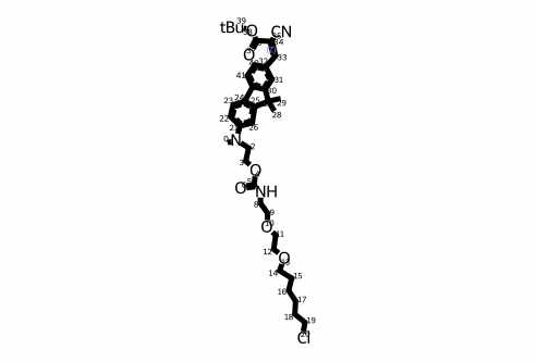 CN(CCOC(=O)NCCOCCOCCCCCCCl)c1ccc2c(c1)C(C)(C)c1cc(/C=C(/C#N)C(=O)OC(C)(C)C)ccc1-2